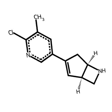 Cc1cc(C2=C[C@@H]3CN[C@@H]3C2)cnc1Cl